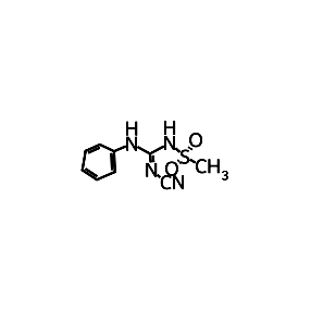 CS(=O)(=O)NC(=NC#N)Nc1ccccc1